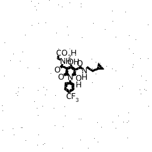 O=C(O)CNC(=O)c1c(O)c(C(=O)NCCC2CC2)c(O)n(-c2ccc(C(F)(F)F)cc2)c1=O